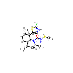 CCN(C(=O)NSC)C1C(C(C)C)CCC(C)C1c1cnc(Cl)s1